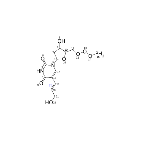 O=c1[nH]c(=O)n(C2CC(O)C(COOOP)O2)cc1/C=C/CO